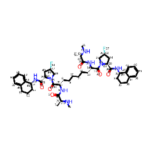 CN[C@@H](C)C(=O)N[C@@H](CCCCCC[C@H](NC(=O)[C@H](C)NC)C(=O)N1C[C@@H](F)C[C@H]1C(=O)N[C@@H]1CCCc2ccccc21)C(=O)N1C[C@H](F)C[C@H]1C(=O)N[C@@H]1CCCc2ccccc21